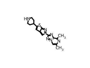 CC1=C[N+]2=NC(n3cc4cc(C5CCNCC5)sc4n3)=NC2C(C)=N1